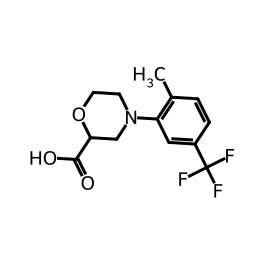 Cc1ccc(C(F)(F)F)cc1N1CCOC(C(=O)O)C1